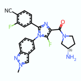 Cn1cc2cc(-n3c(-c4ccc(C#N)c(F)c4)nc(C(=O)N4CC[C@H](N)C4)c3F)ccc2n1